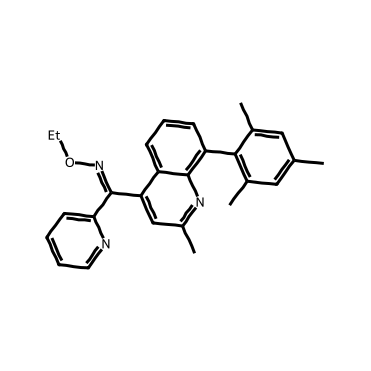 CCON=C(c1ccccn1)c1cc(C)nc2c(-c3c(C)cc(C)cc3C)cccc12